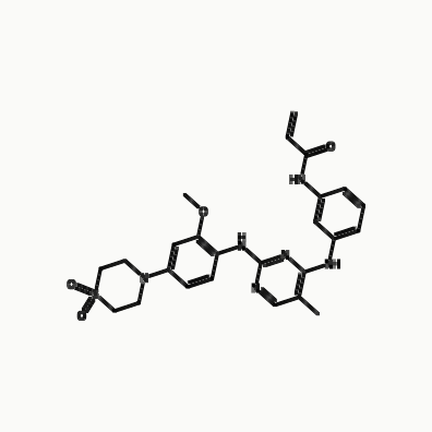 C=CC(=O)Nc1cccc(Nc2nc(Nc3ccc(N4CCS(=O)(=O)CC4)cc3OC)ncc2C)c1